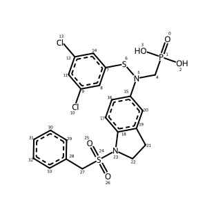 O=P(O)(O)CN(Sc1cc(Cl)cc(Cl)c1)c1ccc2c(c1)CCN2S(=O)(=O)Cc1ccccc1